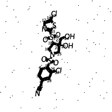 N#Cc1ccc(S(=O)(=O)N2C[C@H](S(=O)(=O)c3ncc(Cl)s3)[C@](O)(CO)C2)c(Cl)c1